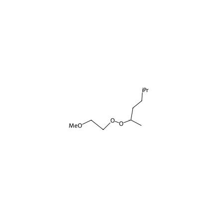 COCCOO[C](C)CCC(C)C